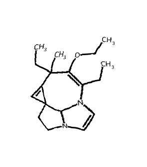 CCOC1=C(CC)N2C=CN3CCC4(C=C4C1(C)CC)C32